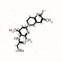 Cc1cc2c(nc1F)CCN(c1cc(C)c(NC(=O)CC(C)(C)C)c(C)n1)C2